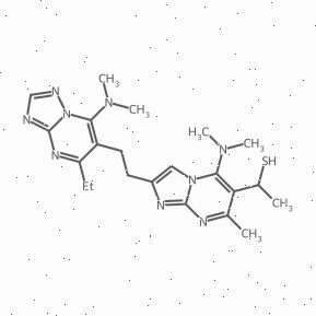 CCc1nc2ncnn2c(N(C)C)c1CCc1cn2c(N(C)C)c(C(C)S)c(C)nc2n1